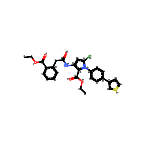 CCOC(=O)c1ccccc1CC(=O)Nc1cc(Cl)n(-c2ccc(-c3ccsc3)cc2)c1C(=O)OCC